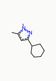 Cc1cc(C2CCCCC2)nn1C